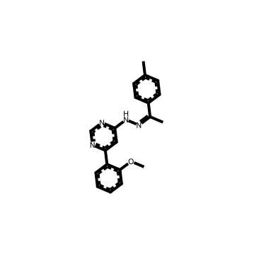 COc1ccccc1-c1cc(N/N=C(/C)c2ccc(C)cc2)ncn1